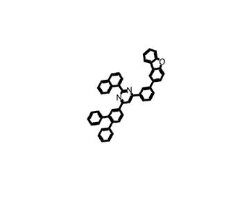 c1ccc(-c2ccc(-c3cc(-c4cccc(-c5ccc6oc7ccccc7c6c5)c4)nc(-c4cccc5ccccc45)n3)cc2-c2ccccc2)cc1